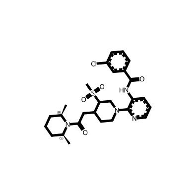 C[C@@H]1CCC[C@H](C)N1C(=O)CC1CCN(c2ncccc2NC(=O)c2cccc(Cl)c2)CC1S(C)(=O)=O